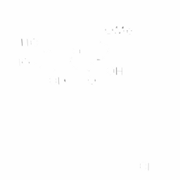 COc1cc(O)c2c(=O)cc(C3C=C(O)C(O)=CC3(O)CCCCCCCCCCCCO)oc2c1